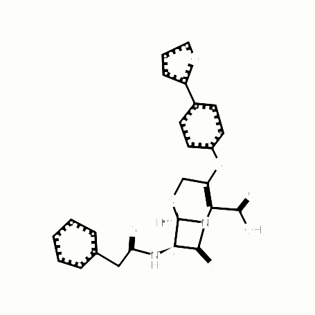 O=C(Cc1ccccc1)N[C@@H]1C(=O)N2C(C(=O)O)=C(Sc3ccc(-c4ccco4)cc3)CS[C@H]12